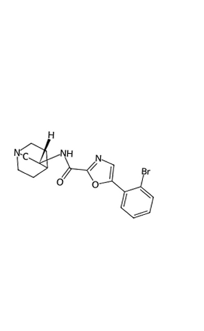 O=C(N[C@H]1CN2CCC1CC2)c1ncc(-c2ccccc2Br)o1